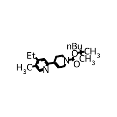 CCCCC(C)(C)OC(=O)N1CC=C(c2cc(CC)c(C)cn2)CC1